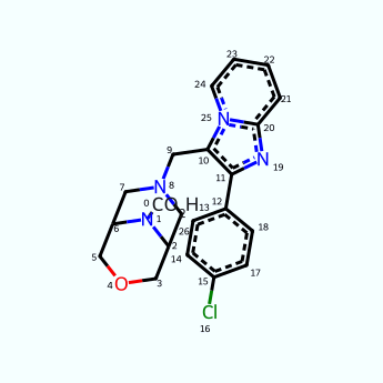 O=C(O)N1C2COCC1CN(Cc1c(-c3ccc(Cl)cc3)nc3ccccn13)C2